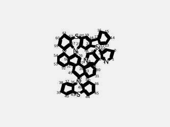 c1cncc([Si]2(c3cccnc3)c3ccccc3-c3cc4c(cc32)N(c2cc3c5ccccc5c(N5c6ccccc6Sc6ccccc65)cc3c3ccccc23)c2ccccc2S4)c1